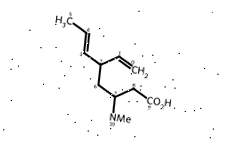 C=CC(/C=C/C)CC(CC(=O)O)NC